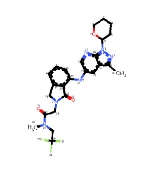 Cc1nn(C2CCCCO2)c2ncc(Nc3cccc4c3C(=O)N(CC(=O)N(C)CC(F)(F)F)C4)cc12